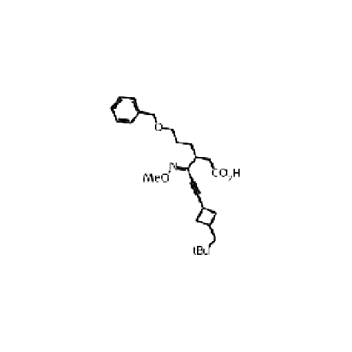 CON=C(C#CC1CC(CC(C)(C)C)C1)C(CCCOCc1ccccc1)CC(=O)O